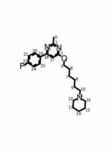 Cc1nc(OCCCCCCN2CCCCC2)cc(-c2ccc(F)cc2)n1